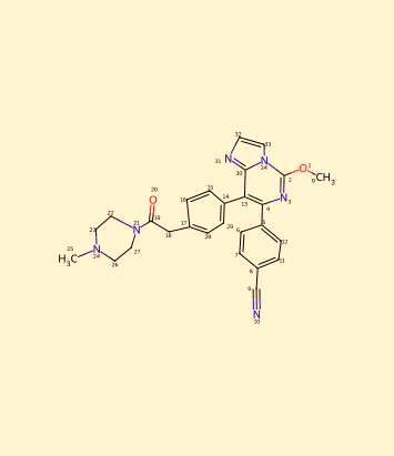 COc1nc(-c2ccc(C#N)cc2)c(-c2ccc(CC(=O)N3CCN(C)CC3)cc2)c2nccn12